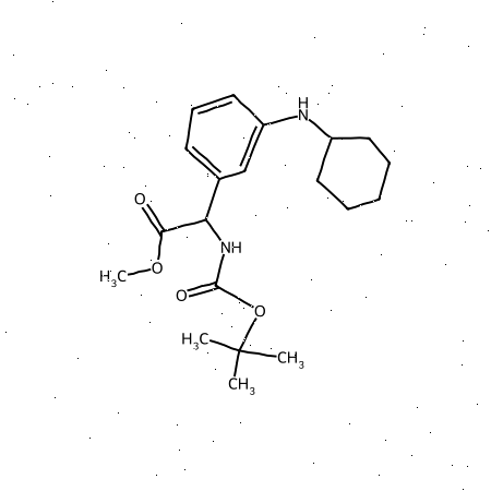 COC(=O)C(NC(=O)OC(C)(C)C)c1cccc(NC2CCCCC2)c1